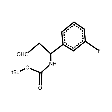 CC(C)(C)OC(=O)NC(CC=O)c1cccc(F)c1